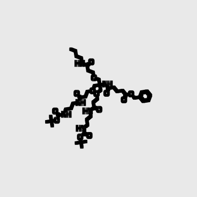 CCCCNC(=O)CCOCC(COCCC(=O)NCCCNC(=O)OC(C)(C)C)(COCCC(=O)NCCCNC(=O)OC(C)(C)C)NC(=O)CCCC(=O)OCc1ccccc1